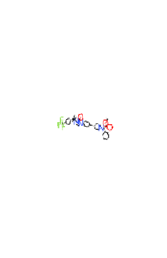 CCOC(=O)C(c1ccccc1)N1CCC(c2ccc(-n3ccn([C@H](C)c4ccc(C(F)(F)F)cc4)c3=O)cc2)CC1